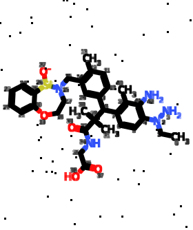 CCN(N)c1ccc(C(c2ccc(C)c(CN3CCOc4ccccc4[S+]3[O-])c2)C(C)(C)C(=O)NCC(=O)O)c(C)c1N